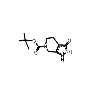 CC(C)(C)OC(=O)N1CCc2c([nH][nH]c2=O)C1